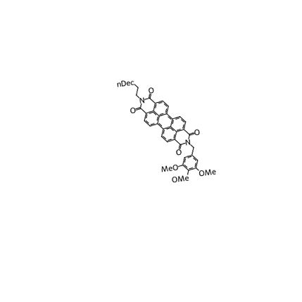 CCCCCCCCCCCCN1C(=O)c2ccc3c4ccc5c6c(ccc(c7ccc(c2c37)C1=O)c64)C(=O)N(Cc1cc(OC)c(OC)c(OC)c1)C5=O